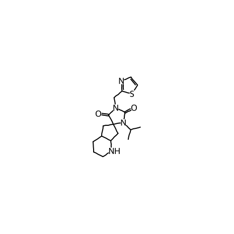 CC(C)N1C(=O)N(Cc2nccs2)C(=O)C12CC1CCCNC1C2